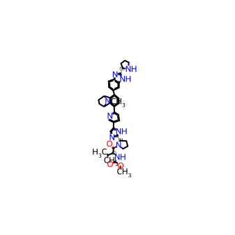 COC(=O)N[C@H](C(=O)N1CCC[C@H]1c1ncc(-c2ccc(-c3ccc(-c4ccc5nc([C@@H]6CCCN6)[nH]c5c4)c4c3C3CCC4N3C)nc2)[nH]1)C(C)C